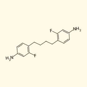 Nc1ccc(CCCCc2ccc(N)cc2F)c(F)c1